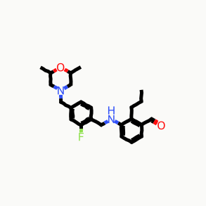 CCCc1c(C=O)cccc1NCc1ccc(CN2CC(C)OC(C)C2)cc1F